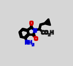 Nc1cccc2c1C(=O)N([C@@H](CC1CC1)C(=O)O)C2=O